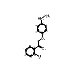 NNc1ccc(OCC(=O)c2ccccc2Cl)cc1